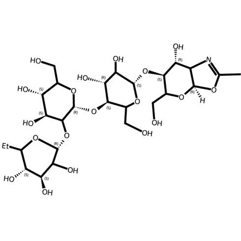 CCC1O[C@H](OC2[C@@H](O[C@@H]3C(CO)O[C@@H](O[C@@H]4C(CO)O[C@@H]5OC(C)=NC5[C@H]4O)C(O)[C@H]3O)OC(CO)[C@@H](O)[C@@H]2O)C(O)[C@@H](O)[C@@H]1O